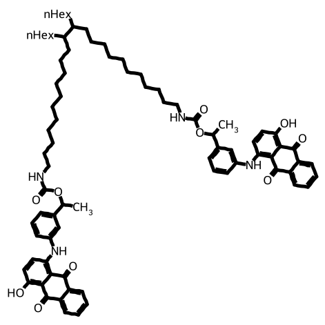 CCCCCCC(CCCCCCCCCCCNC(=O)OC(C)c1cccc(Nc2ccc(O)c3c2C(=O)c2ccccc2C3=O)c1)C(CCCCCC)CCCCCCCCCCCNC(=O)OC(C)c1cccc(Nc2ccc(O)c3c2C(=O)c2ccccc2C3=O)c1